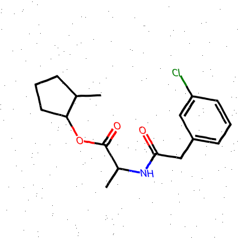 CC(NC(=O)Cc1cccc(Cl)c1)C(=O)OC1CCCC1C